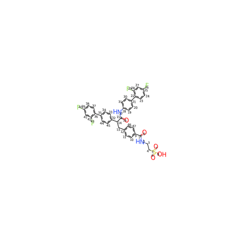 O=C(NCCS(=O)(=O)O)c1ccc(CC(C(=O)Nc2ccc(-c3ccc(F)cc3F)cc2)c2ccc(-c3ccc(F)cc3F)cc2)cc1